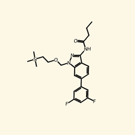 CCCC(=O)Nc1nn(COCC[Si](C)(C)C)c2cc(-c3cc(F)cc(F)c3)ccc12